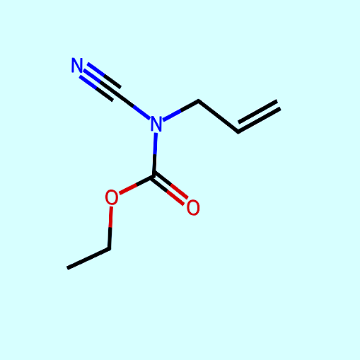 C=CCN(C#N)C(=O)OCC